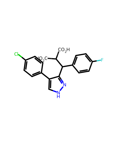 O=C(O)C(C(=O)O)C(c1ccc(F)cc1)c1n[nH]cc1-c1ccc(Cl)cc1